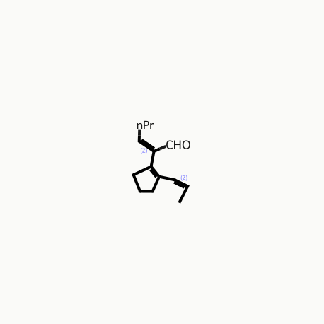 C/C=C\C1=C(C(/C=O)=C/CCC)CCC1